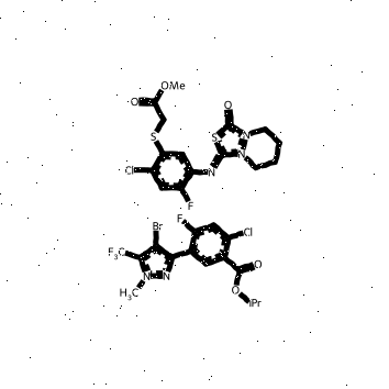 CC(C)OC(=O)c1cc(-c2nn(C)c(C(F)(F)F)c2Br)c(F)cc1Cl.COC(=O)CSc1cc(/N=c2\sc(=O)n3n2CCCC3)c(F)cc1Cl